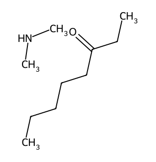 CCCCCC(=O)CC.CNC